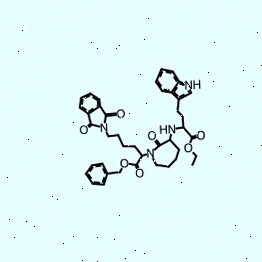 CCOC(=O)C(CCc1c[nH]c2ccccc12)NC1CCCCN(C(CCCCN2C(=O)c3ccccc3C2=O)C(=O)OCc2ccccc2)C1=O